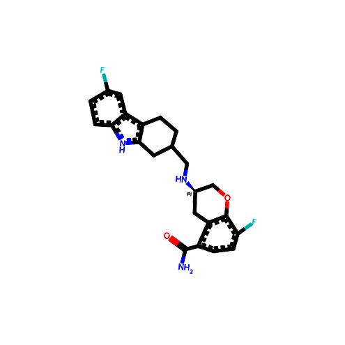 NC(=O)c1ccc(F)c2c1C[C@@H](NCC1CCc3c([nH]c4ccc(F)cc34)C1)CO2